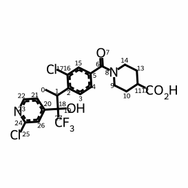 CC(c1ccc(C(=O)N2CCC(C(=O)O)CC2)cc1Cl)C(O)(c1ccnc(Cl)c1)C(F)(F)F